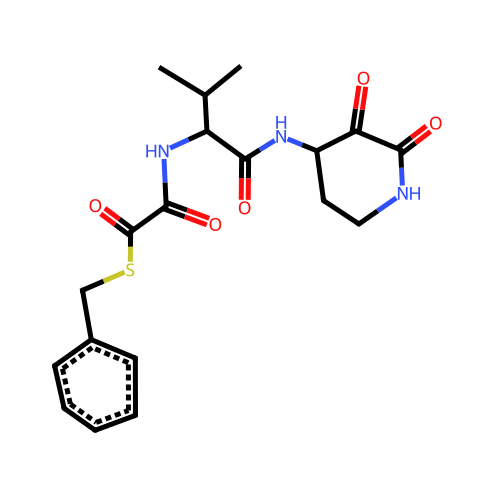 CC(C)C(NC(=O)C(=O)SCc1ccccc1)C(=O)NC1CCNC(=O)C1=O